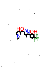 CCN1CCCC(C(O)c2cc(C)c(-c3ccc(C(F)(F)F)cc3O)nn2)C1